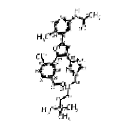 CC(=O)Nc1cc(-c2cc(-c3ncn(COCC[Si](C)(C)C)n3)c(-c3cc(C=O)ccc3Cl)o2)c(C)cn1